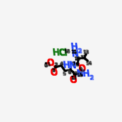 COC(=O)CC[C@@H](NC(=O)[C@@H](N)C(C)C)C(N)=O.Cl